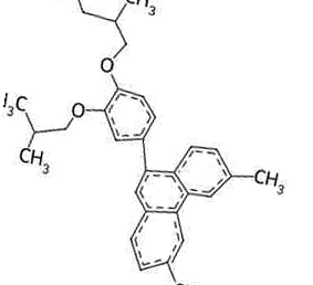 CCC(C)COc1ccc(-c2cc3ccc(C)cc3c3cc(C)ccc23)cc1OCC(C)C